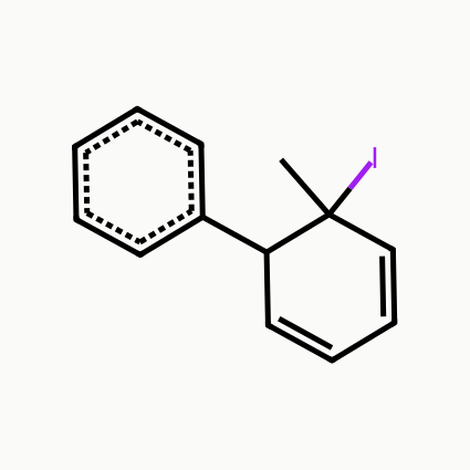 CC1(I)C=CC=CC1c1ccccc1